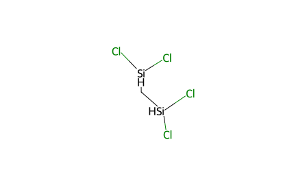 Cl[SiH](Cl)C[SiH](Cl)Cl